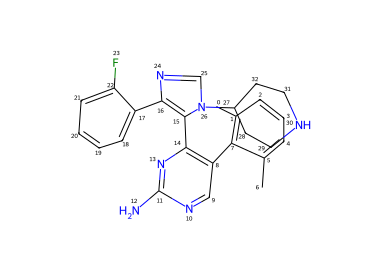 Cc1cccc(C)c1-c1cnc(N)nc1-c1c(-c2ccccc2F)ncn1C1CCNCC1